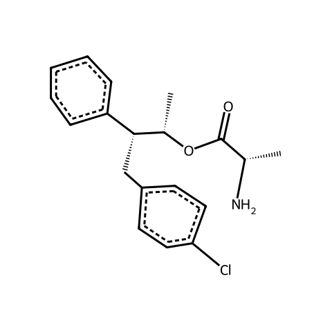 C[C@H](N)C(=O)O[C@@H](C)[C@H](Cc1ccc(Cl)cc1)c1ccccc1